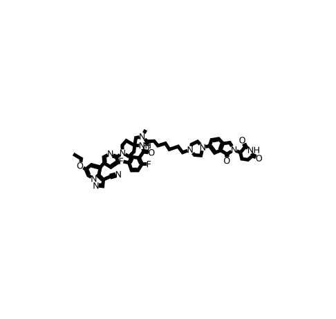 CCOc1cc(-c2ccc(N3CCC(CN(C)C(=O)CCCCCCN4CCN(c5ccc6c(c5)C(=O)N(C5CCC(=O)NC5=O)C6)CC4)(NC(=O)c4cc(F)ccc4F)CC3)nc2)c2c(C#N)cnn2c1